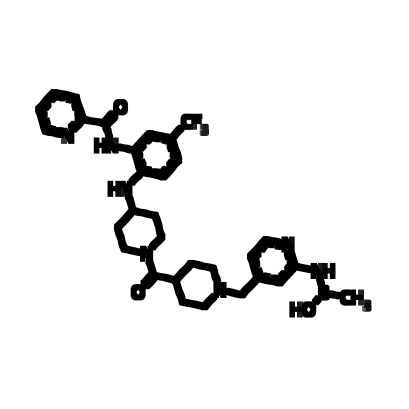 CB(O)Nc1cc(CN2CCC(C(=O)N3CCC(Nc4ccc(C(F)(F)F)cc4NC(=O)c4ccccn4)CC3)CC2)ccn1